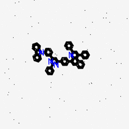 c1ccc(-c2cc(-c3ccccc3)c3c(n2)c(-c2ccc(-c4cc(-c5cccc(-n6c7ccccc7c7ccccc76)c5)nc(-c5ccccc5)n4)cc2)cc2ccccc23)cc1